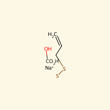 C=CCS[S-].O=C(O)O.[Na+]